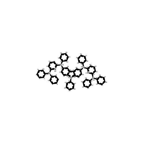 c1ccc(N(c2ccccc2)c2cccc(N(c3ccccc3)c3ccc4c(c3)c3cc(N(c5ccccc5)c5cccc(N(c6ccccc6)c6ccccc6)n5)ccc3n4-c3ccccc3)n2)cc1